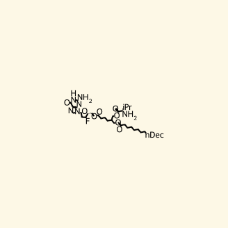 CCCCCCCCCCCCCCCCCC(=O)OCC(CCCC(=O)OC[C@H]1O[C@@H](n2cnc3c(=O)[nH]c(N)nc32)C[C@@H]1F)COC(=O)[C@@H](N)C(C)C